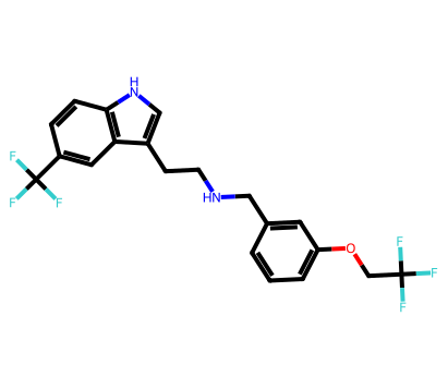 FC(F)(F)COc1cccc(CNCCc2c[nH]c3ccc(C(F)(F)F)cc23)c1